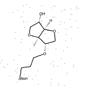 CCCCCCCCCCCCO[C@H]1CO[C@@H]2[C@@H](O)CO[C@]12C